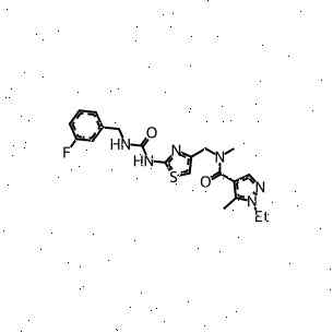 CCn1ncc(C(=O)N(C)Cc2csc(NC(=O)NCc3cccc(F)c3)n2)c1C